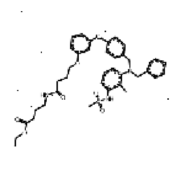 CCOC(=O)CCCNC(=O)CCCOc1cccc(Oc2ccc(CN(Cc3ccccc3)c3cccc(NS(C)(=O)=O)c3C)cc2)c1